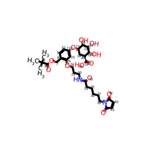 CC(C)(C)C(=O)OCc1ccc(O[C@@H]2C[C@H](C(=O)O)[C@@H](O)[C@H](O)[C@H]2O)cc1OCCCNC(=O)CCCCCN1C(=O)C=CC1=O